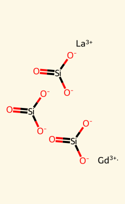 O=[Si]([O-])[O-].O=[Si]([O-])[O-].O=[Si]([O-])[O-].[Gd+3].[La+3]